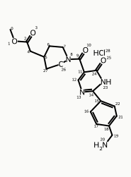 COC(=O)CC1CCN(C(=O)c2cnc(-c3ccc(CN)cc3)[nH]c2=O)CC1.Cl